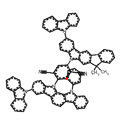 CC1(C)c2ccccc2-c2cc3c4cc(-n5c6ccccc6c6ccccc65)ccc4n(-c4cc(C#N)c(-n5c6ccc(-n7c8ccccc8c8ccccc87)cc6c6ccc7c8ccccc8n(-c8ccccc8)c7c65)cc4C#N)c3cc21